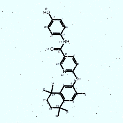 Cc1cc2c(cc1[Se]c1ccc(C(=O)Nc3ccc(O)cc3)cn1)C(C)(C)CCC2(C)C